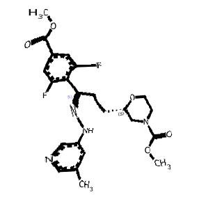 COC(=O)c1cc(F)c(/C(CC[C@H]2CN(C(=O)OC)CCO2)=N/Nc2cncc(C)c2)c(F)c1